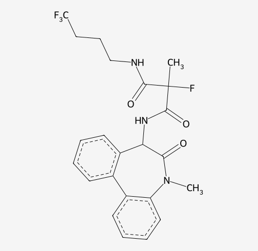 CN1C(=O)C(NC(=O)C(C)(F)C(=O)NCCCC(F)(F)F)c2ccccc2-c2ccccc21